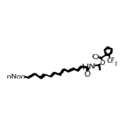 CCCCCCCCCC=CC=CC=CC=CC=CC=CC(=O)NC(C)OC(=O)c1ccccc1C(F)(F)F